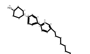 CCCCCCCCc1ccc(-c2ccc([C@H]3CC[C@H](O)CC3)cc2)nc1